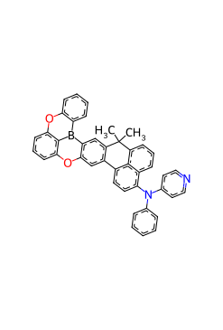 CC1(C)c2cc3c(cc2-c2ccc(N(c4ccccc4)c4ccncc4)c4cccc1c24)Oc1cccc2c1B3c1ccccc1O2